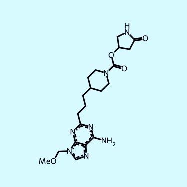 COCn1cnc2c(N)nc(CCCC3CCN(C(=O)OC4CNC(=O)C4)CC3)nc21